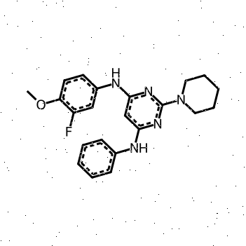 COc1ccc(Nc2cc(Nc3ccccc3)nc(N3CCCCC3)n2)cc1F